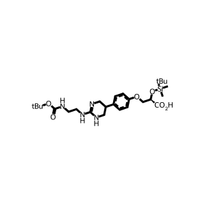 CC(C)(C)OC(=O)NCCNC1=NCC(c2ccc(OC[C@@H](O[Si](C)(C)C(C)(C)C)C(=O)O)cc2)CN1